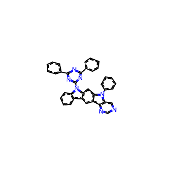 c1ccc(-c2nc(-c3ccccc3)nc(-n3c4ccccc4c4cc5c6ncncc6n(-c6ccccc6)c5cc43)n2)cc1